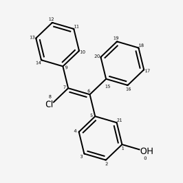 Oc1cccc(C(=C(Cl)c2ccccc2)c2ccccc2)c1